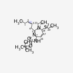 CC/C=C\CC1=NC(NC(=O)OC(C)(C)C)C=CC(SCC)N1CC